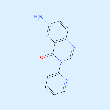 Nc1ccc2ncn(-c3ccccn3)c(=O)c2c1